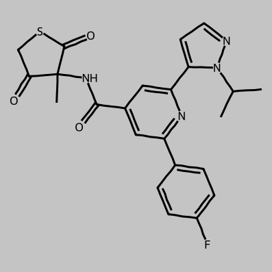 CC(C)n1nccc1-c1cc(C(=O)NC2(C)C(=O)CSC2=O)cc(-c2ccc(F)cc2)n1